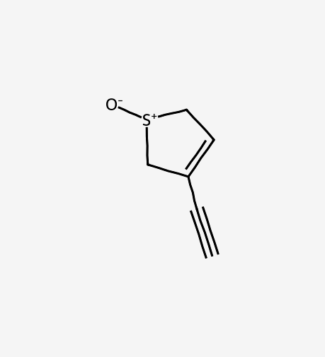 C#CC1=CC[S+]([O-])C1